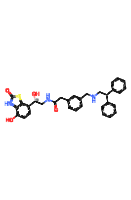 O=C(Cc1cccc(CNCC(c2ccccc2)c2ccccc2)c1)NC[C@@H](O)c1ccc(O)c2[nH]c(=O)sc12